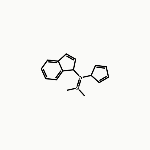 C[Si](C)=[Zr]([CH]1C=CC=C1)[CH]1C=Cc2ccccc21